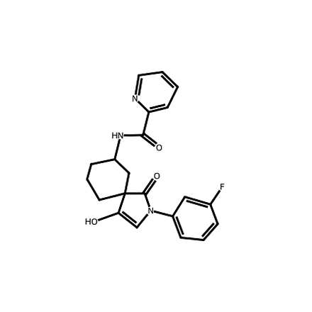 O=C(NC1CCCC2(C1)C(=O)N(c1cccc(F)c1)C=C2O)c1ccccn1